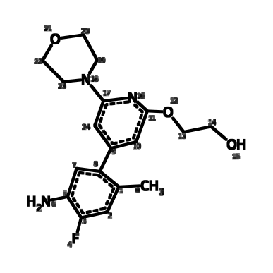 Cc1cc(F)c(N)cc1-c1cc(OCCO)nc(N2CCOCC2)c1